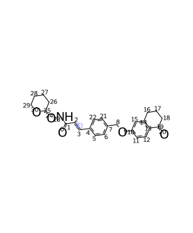 O=C(/C=C/c1ccc(COc2ccc3c(c2)CCCC3=O)cc1)NOC1CCCCO1